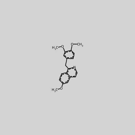 COc1ccc2c(Cc3ccc(OC)c(OC)c3)nccc2c1